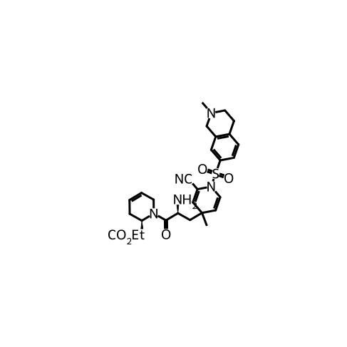 CCOC(=O)[C@H]1CC=CCN1C(=O)[C@@H](N)CC1(C)C=CN(S(=O)(=O)c2ccc3c(c2)CN(C)CC3)C(C#N)=C1